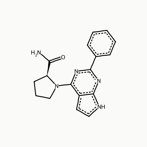 NC(=O)[C@@H]1CCCN1c1nc(-c2ccccc2)nc2[nH]ccc12